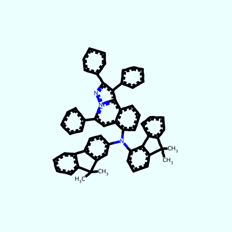 CC1(C)c2ccccc2-c2ccc(N(c3cccc4c3-c3ccccc3C4(C)C)c3cccc4c3cc(-c3ccccc3)n3nc(-c5ccccc5)c(-c5ccccc5)c43)cc21